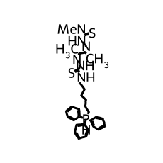 CNC(=S)N/N=C(C)\C(C)=N/NC(=S)NCCCCCC[PH](c1ccccc1)(c1ccccc1)c1ccccc1